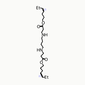 CC/C=C\CCCOC(=O)CCNCCCCNCCC(=O)OCCC/C=C\CC